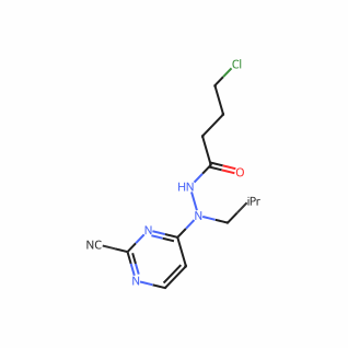 CC(C)CN(NC(=O)CCCCl)c1ccnc(C#N)n1